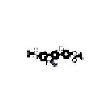 C=C(C)C(=O)Oc1ccc(-c2ccc(-c3ccc(OC(=O)C(=C)C)cc3F)c(/C=C\C)c2)c(F)c1